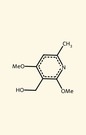 COc1cc(C)nc(OC)c1CO